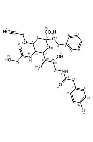 C#CCOC1CC(OCc2ccccc2)(C(=O)O)OC([C@H](O)[C@H](O)CNC(=O)Cc2ccc(Cl)cc2)C1NC(=O)CO